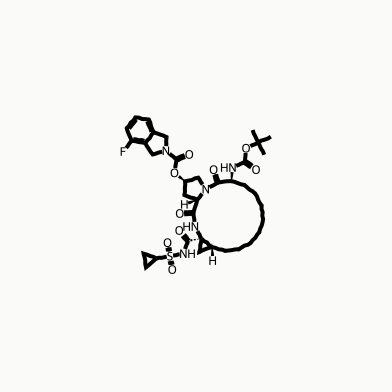 CC(C)(C)OC(=O)N[C@H]1CCCCCCCC[C@@H]2C[C@@]2(C(=O)NS(=O)(=O)C2CC2)NC(=O)[C@@H]2C[C@@H](OC(=O)N3Cc4cccc(F)c4C3)CN2C1=O